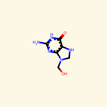 Nc1nc2c(c(=O)[nH]1)NCN2CO